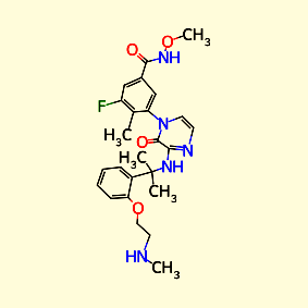 CNCCOc1ccccc1C(C)(C)Nc1nccn(-c2cc(C(=O)NOC)cc(F)c2C)c1=O